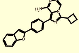 Nc1nccn2c(C3CCC3)nc(-c3ccc(-c4cc5ccccc5o4)cc3)c12